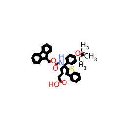 CC(C)(C)Oc1ccc(C(CCCC(=O)O)(NC(=O)OCC2c3ccccc3-c3ccccc32)c2cc3ccccc3s2)cc1